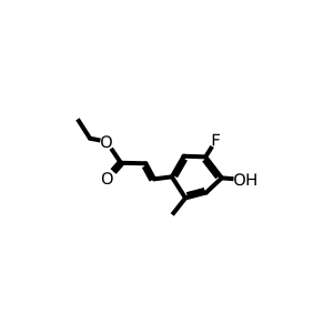 CCOC(=O)/C=C/c1cc(F)c(O)cc1C